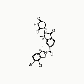 C[C@@H]1c2cc(C(=O)N3Cc4c(ccc(Br)c4Cl)[C@@H]3C)ccc2C(=O)N1[C@H]1CCC(=O)NC1=O